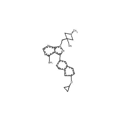 CN1CC(O)(Cn2nc(-c3ccc4cc(OC5CC5)ccc4c3)c3c(N)ncnc32)C1